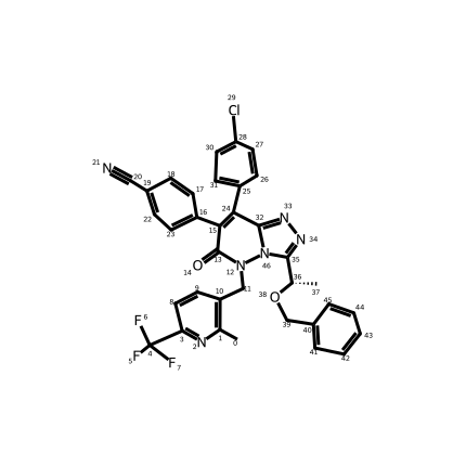 Cc1nc(C(F)(F)F)ccc1Cn1c(=O)c(-c2ccc(C#N)cc2)c(-c2ccc(Cl)cc2)c2nnc([C@H](C)OCc3ccccc3)n21